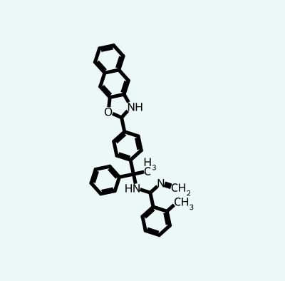 C=NC(NC(C)(c1ccccc1)c1ccc(C2Nc3cc4ccccc4cc3O2)cc1)c1ccccc1C